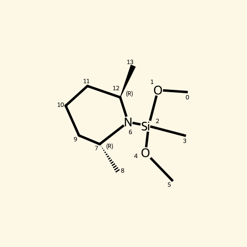 CO[Si](C)(OC)N1[C@H](C)CCC[C@H]1C